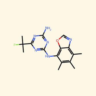 Cc1c(C)c(Nc2nc(N)nc(C(C)(C)F)n2)c2ocnc2c1C